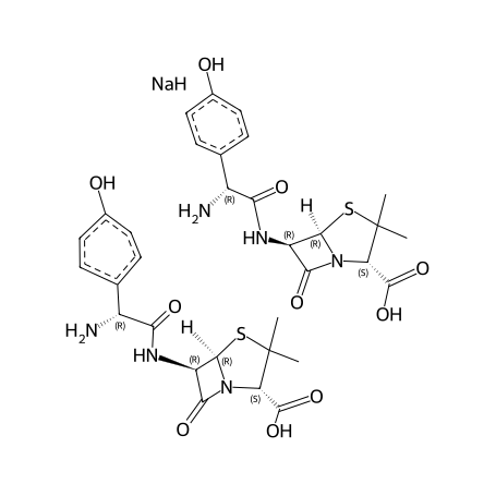 CC1(C)S[C@@H]2[C@H](NC(=O)[C@H](N)c3ccc(O)cc3)C(=O)N2[C@H]1C(=O)O.CC1(C)S[C@@H]2[C@H](NC(=O)[C@H](N)c3ccc(O)cc3)C(=O)N2[C@H]1C(=O)O.[NaH]